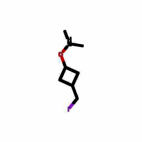 C[SiH](C)OC1CC(CI)C1